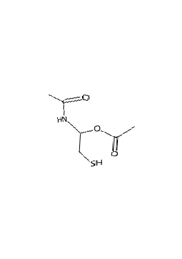 CC(=O)NC(CS)OC(C)=O